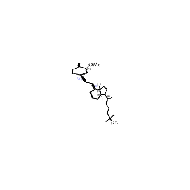 C=C1CC/C(=C/C=C2\CCC[C@]3(C)C([C@@H](C)CCCC(C)(C)O)CC[C@@H]23)C[C@H]1OC